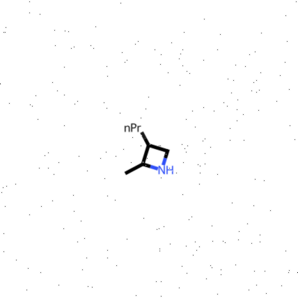 CCCC1CNC1C